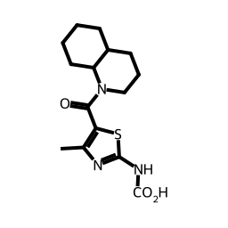 Cc1nc(NC(=O)O)sc1C(=O)N1CCCC2CCCCC21